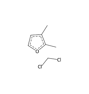 Cc1ccoc1C.ClCCl